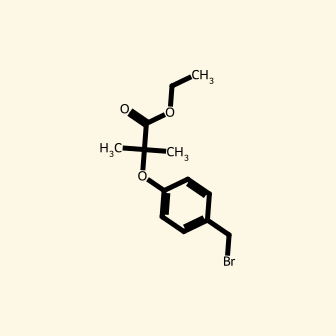 CCOC(=O)C(C)(C)Oc1ccc(CBr)cc1